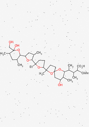 CCC1(C2OC(C3OC(O)(CO)C(C)CC3C)CC2C)CCC(C2(C)CCC3(CC(O)C(C)C(C(C)C(C)C(OC)C(=O)O)O3)O2)O1